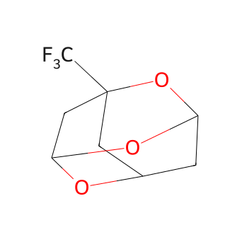 FC(F)(F)C12CC3CC(OC(C1)O3)O2